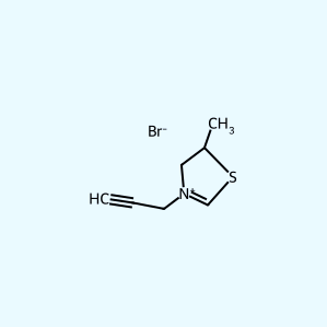 C#CC[N+]1=CSC(C)C1.[Br-]